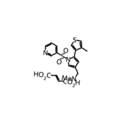 CNCc1cc(-c2cscc2C)n(S(=O)(=O)c2cccnc2)c1.O=C(O)/C=C/C(=O)O